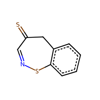 S=C1C=NSc2ccccc2C1